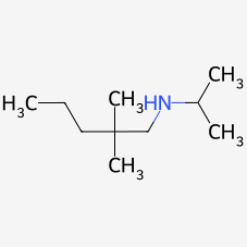 CCCC(C)(C)CNC(C)C